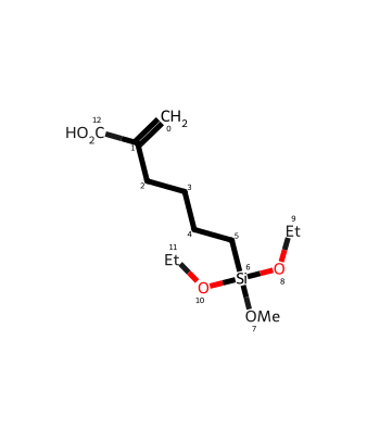 C=C(CCCC[Si](OC)(OCC)OCC)C(=O)O